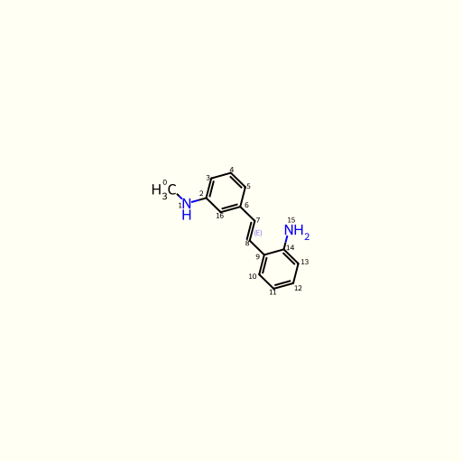 CNc1cccc(/C=C/c2ccccc2N)c1